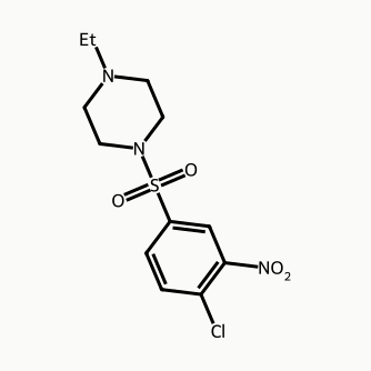 CCN1CCN(S(=O)(=O)c2ccc(Cl)c([N+](=O)[O-])c2)CC1